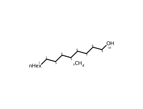 C.CCCCCCCCCCCCCCO